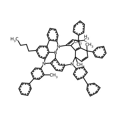 CCCCc1cc2c3c(c1)N(c1ccc(-c4ccccc4)cc1C)c1ccc4cc1B3N(C1=CC(C)(c3ccccc3)C3=C(C1C)C(C)(C=CC3(C)c1ccccc1)N4c1ccc(-c3ccccc3)cc1)c1ccccc1-2